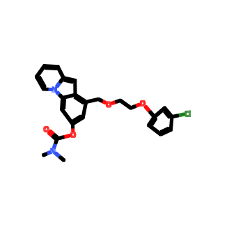 CN(C)C(=O)Oc1cc(COCCOc2cccc(Cl)c2)c2cc3ccccn3c2c1